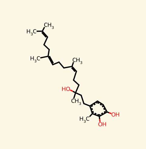 CC(C)=CCCC(C)=CCCC(C)=CCCC(C)(O)CCc1ccc(O)c(O)c1C